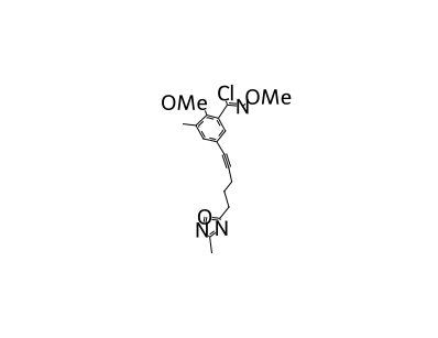 CO/N=C(\Cl)c1cc(C#CCCCc2nc(C)no2)cc(C)c1OC